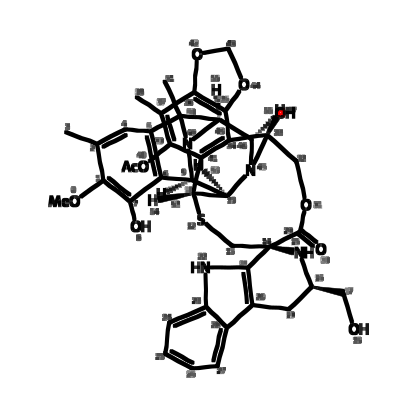 COc1c(C)cc2c(c1O)[C@@H]1[C@@H]3[C@@H]4SC[C@]5(N[C@@H](CO)Cc6c5[nH]c5ccccc65)C(=O)OC[C@@H](c5c6c(c(C)c(OC(C)=O)c54)OCO6)N3[C@@H](O)[C@H]3N1C23C